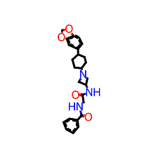 O=C(CNC(=O)c1ccccc1)NC1CN(C2CCC(c3ccc4c(c3)OCO4)CC2)C1